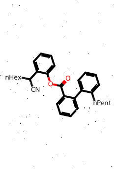 CCCCCCC(C#N)c1ccccc1OC(=O)c1ccccc1-c1ccccc1CCCCC